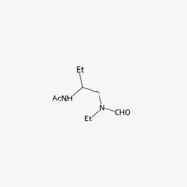 CCC(CN(C=O)CC)NC(C)=O